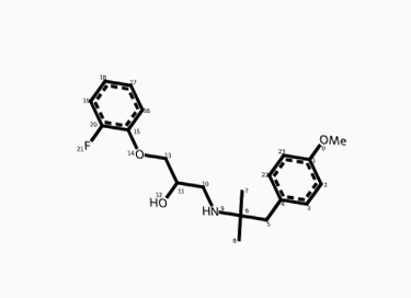 COc1ccc(CC(C)(C)NCC(O)COc2ccccc2F)cc1